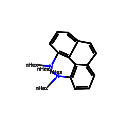 CCCCCCN(CCCCCC)c1cccc2ccc3cccc(N(CCCCCC)CCCCCC)c3c12